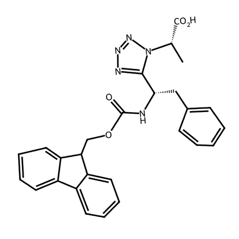 C[C@@H](C(=O)O)n1nnnc1[C@H](Cc1ccccc1)NC(=O)OCC1c2ccccc2-c2ccccc21